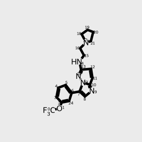 FC(F)(F)Oc1cccc(-c2cnc3ccc(NCCN4CCCC4)nn23)c1